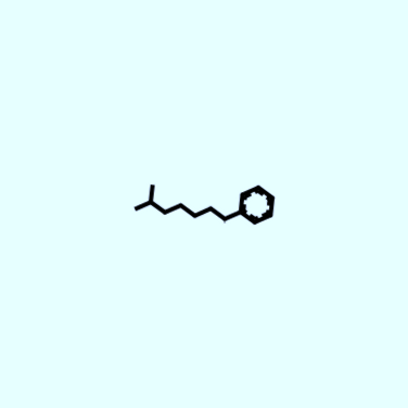 CC(C)CCCC[CH]c1ccccc1